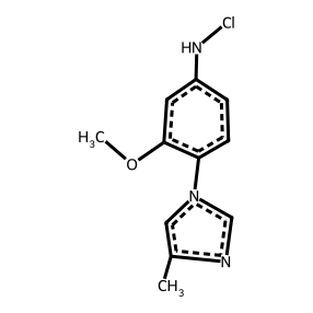 COc1cc(NCl)ccc1-n1cnc(C)c1